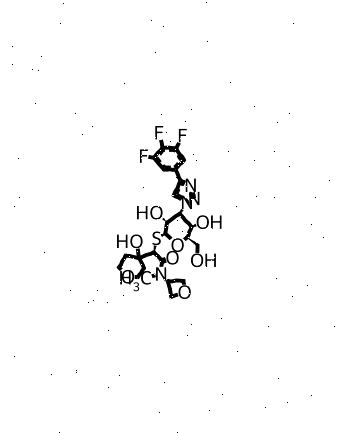 CN(C(=O)[C@H](S[C@@H]1O[C@H](CO)[C@H](O)[C@H](n2cc(-c3cc(F)c(F)c(F)c3)nn2)[C@H]1O)C1(O)CCOCC1)C1COC1